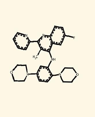 Cc1c(-c2ccccn2)nc2ccc(F)cc2c1Nc1cc(N2CCOCC2)ccc1N1CCOCC1